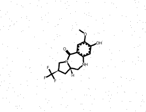 COc1cc2c(cc1O)NC[C@@H]1C[C@@H](C(F)(F)F)CN1C2=O